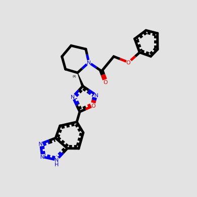 O=C(COc1ccccc1)N1CCCC[C@@H]1c1noc(-c2ccc3[nH]nnc3c2)n1